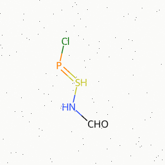 O=CN[SH]=PCl